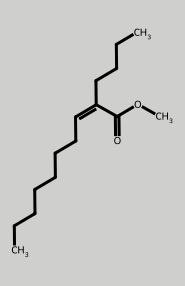 CCCCCCCC=C(CCCC)C(=O)OC